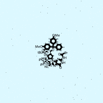 COc1ccc(C(OC[C@H]2C[C@@H](n3cnc4c(=O)[nH]c(NC(=O)C(C)C)nc43)[C@H](P(O)(O)(CCC#N)N(C(C)C)C(C)C)[C@@H]2O[Si](C)(C)C(C)(C)C)(c2ccccc2)c2ccc(OC)cc2)cc1